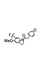 COc1cc2c(cc1C(F)(F)F)N(C(=O)Cc1ccc(Cl)cc1)CC2